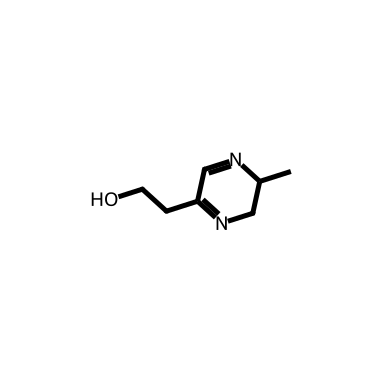 CC1CN=C(CCO)C=N1